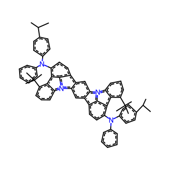 CC(C)c1ccc(N(c2ccccc2)c2ccc3c4cc5c(cc4n4c6cccc(C(C)(C)C)c6c2c34)c2ccc(N(c3ccccc3)c3ccc(C(C)C)cc3)c3c4c(C(C)(C)C)cccc4n5c23)cc1